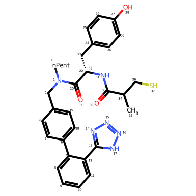 CCCCCN(Cc1ccc(-c2ccccc2-c2nnn[nH]2)cc1)C(=O)[C@H](Cc1ccc(O)cc1)NC(=O)C(C)CS